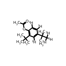 [2H]c1c([2H])c(C(C)(C)C([2H])([2H])[2H])c([2H])c(C(C)(C)C)c1OC(C)=O